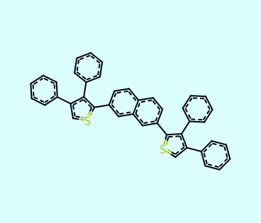 c1ccc(-c2csc(-c3ccc4ccc(-c5scc(-c6ccccc6)c5-c5ccccc5)cc4c3)c2-c2ccccc2)cc1